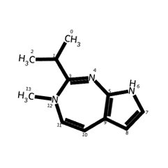 CC(C)C1=Nc2[nH]ccc2C=CN1C